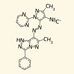 [C-]#[N+]c1c(C)nn(-c2ncccn2)c1/N=N/c1c(C)nn2c(-c3ccccc3)n[nH]c12